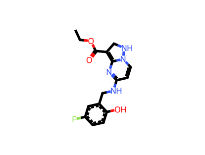 CCOC(=O)C1=C2N=C(NCc3cc(F)ccc3O)C=CN2NC1